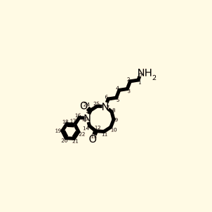 NCCCCCCN1CCCCC(=O)CN(Cc2ccccc2)C(=O)C1